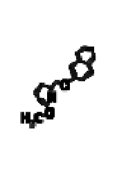 COc1cccc(COc2ccc3ccccc3c2)n1